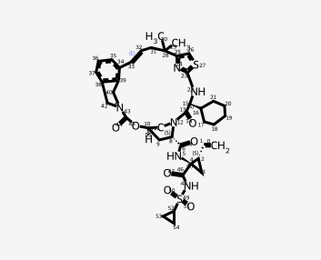 C=C[C@@H]1C[C@]1(NC(=O)[C@@H]1C[C@@H]2CN1C(=O)[C@H](C1CCCCC1)Nc1nc(cs1)C(C)(C)C/C=C/c1cccc3c1CN(C3)C(=O)O2)C(=O)NS(=O)(=O)C1CC1